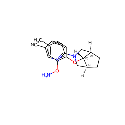 Cc1ccc(O[C@@H]2[C@@H]3CC[C@H]2CN(c2ccc(C#N)cn2)C3)c(ON)c1